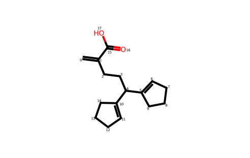 C=C(CCC(C1=CCCC1)C1=CCCC1)C(=O)O